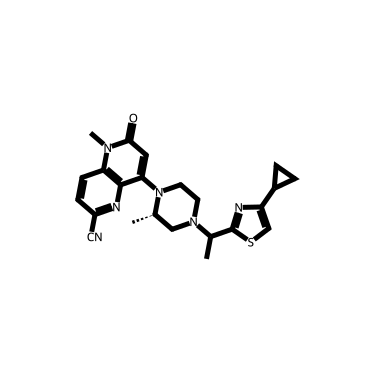 CC(c1nc(C2CC2)cs1)N1CCN(c2cc(=O)n(C)c3ccc(C#N)nc23)[C@@H](C)C1